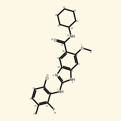 COc1cc2[nH]c(Nc3c(Cl)ccc(C)c3F)nc2cc1C(=O)NC1CCCCC1